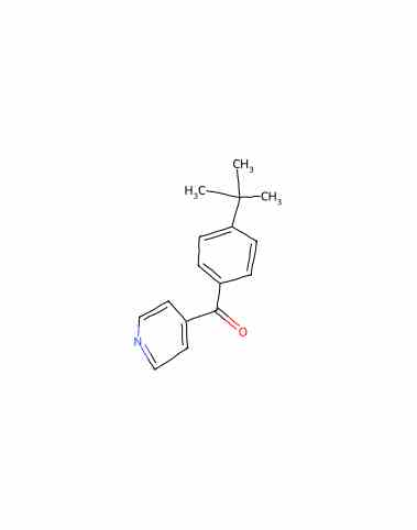 CC(C)(C)c1ccc(C(=O)c2ccncc2)cc1